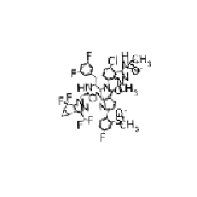 Cn1nc(N[S+](C)[O-])c2c(Cl)ccc(-n3c(C(Cc4cc(F)cc(F)c4)NC(=O)Cn4nc(C(F)F)c5c4C(F)(F)C4CC54)nc4nc(-c5ccc(F)cc5[S+](C)[O-])ccc4c3=O)c21